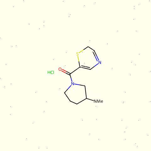 CNC1CCCN(C(=O)C2=CN=CCS2)C1.Cl